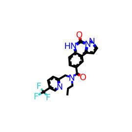 CCCN(Cc1ccc(C(F)(F)F)cn1)C(=O)c1ccc2[nH]c(=O)n3nccc3c2c1